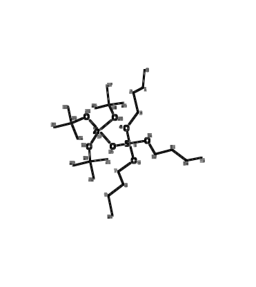 CCCCO[Si](OCCCC)(OCCCC)[O][Zr]([O]C(C)(C)C)([O]C(C)(C)C)[O]C(C)(C)C